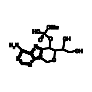 COP(=O)(O)OC1c2nc3c(N)ncnc3n2COC1C(O)CO